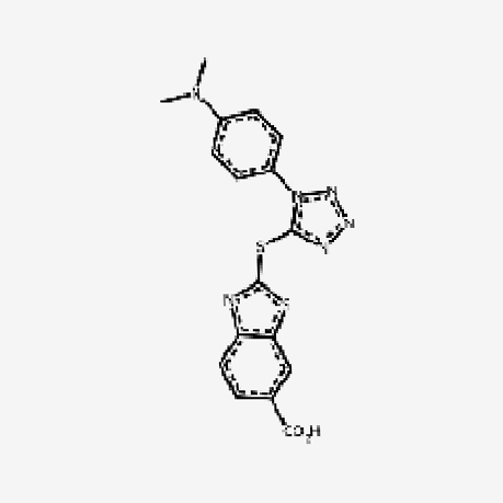 CN(C)c1ccc(-n2nnnc2Sc2nc3ccc(C(=O)O)cc3s2)cc1